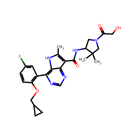 Cc1[nH]c2c(-c3cc(F)ccc3OCC3CC3)ncnc2c1C(=O)NC1CN(C(=O)CO)CC1(C)C